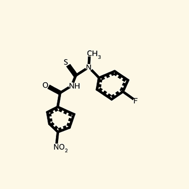 CN(C(=S)NC(=O)c1ccc([N+](=O)[O-])cc1)c1ccc(F)cc1